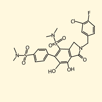 CN(C)S(=O)(=O)c1ccc(-c2c(O)c(O)c3c(c2S(=O)(=O)N(C)C)CN(Cc2ccc(F)c(Cl)c2)C3=O)cc1